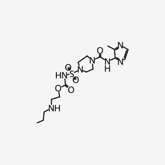 CCCNCCOC(=O)NS(=O)(=O)N1CCN(C(=O)Nc2nccnc2C)CC1